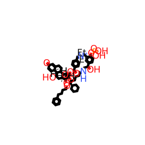 CC[N+](CC)(Cc1ccc(C(=O)OCC(=O)[C@@]23O[C@H](C4CCCCC4)O[C@@H]2C[C@H]2[C@@H]4CCC5=CC(=O)C=C[C@]5(C)[C@H]4[C@@H](O)C[C@@]23C)cc1)Cc1cc(C(O)CNCCCCCCOCCCCc2ccccc2)ccc1OP(=O)(O)O